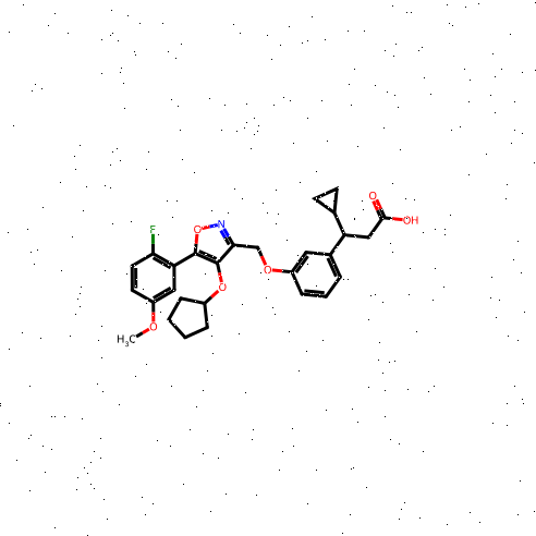 COc1ccc(F)c(-c2onc(COc3cccc(C(CC(=O)O)C4CC4)c3)c2OC2CCCC2)c1